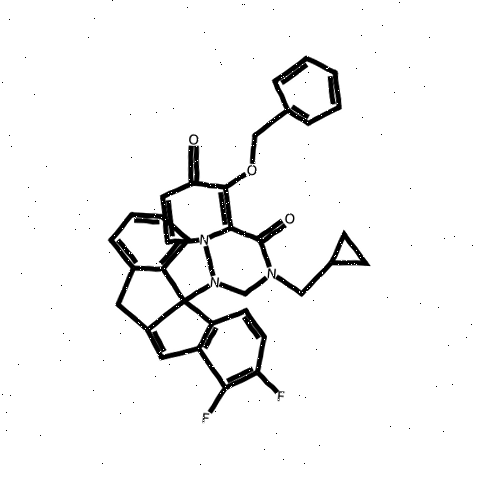 O=C1c2c(OCc3ccccc3)c(=O)ccn2N(C23C(=Cc4c2ccc(F)c4F)Cc2ccccc23)CN1CC1CC1